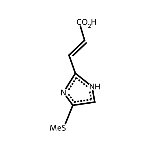 CSc1c[nH]c(C=CC(=O)O)n1